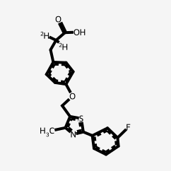 [2H]C([2H])(Cc1ccc(OCc2sc(-c3cccc(F)c3)nc2C)cc1)C(=O)O